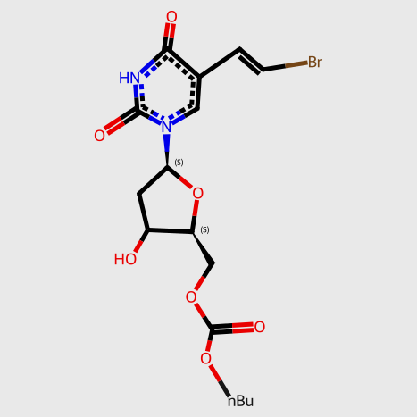 CCCCOC(=O)OC[C@@H]1O[C@H](n2cc(C=CBr)c(=O)[nH]c2=O)CC1O